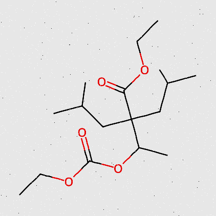 CCOC(=O)OC(C)C(CC(C)C)(CC(C)C)C(=O)OCC